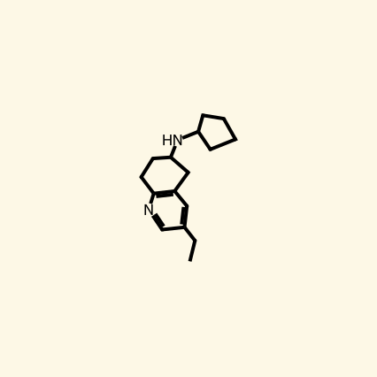 CCc1cnc2c(c1)CC(NC1CCCC1)CC2